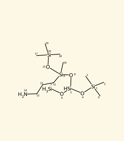 C[Si](C)(C)O[SiH](O[SiH3])O[Si](C)(CCCN)O[Si](C)(C)C